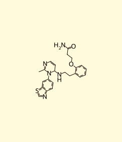 CC1=NC=CC(NCCc2ccccc2OCCC(N)=O)N1c1ccc2ncsc2c1